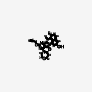 C#CCOc1nc2c(c(N3CCCOCC3)n1)C(=O)N(c1cc(O)cc3ccc(F)c(CC)c13)C2